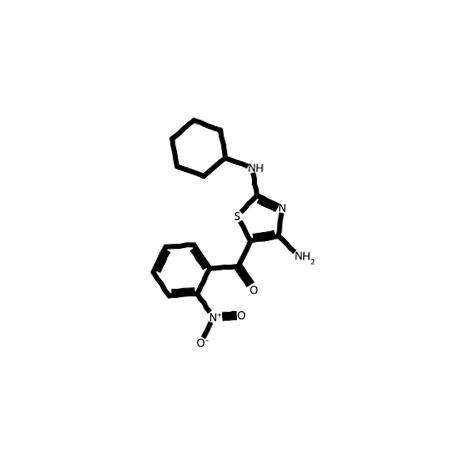 Nc1nc(NC2CCCCC2)sc1C(=O)c1ccccc1[N+](=O)[O-]